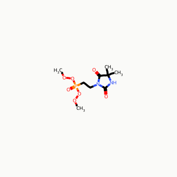 COOP(=O)(CCN1C(=O)NC(C)(C)C1=O)OOC